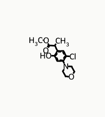 COC(=O)C(C)c1cc(Cl)c(N2CCOCC2)cc1O